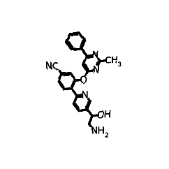 Cc1nc(Oc2cc(C#N)ccc2-c2ccc(C(O)CN)cn2)cc(-c2ccccc2)n1